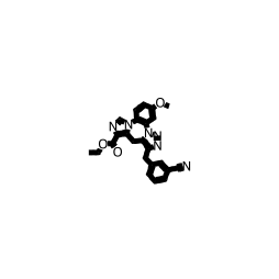 CCOC(=O)c1ncn2c1Cc1c(Cc3cccc(C#N)c3)nnn1-c1cc(OC)ccc1-2